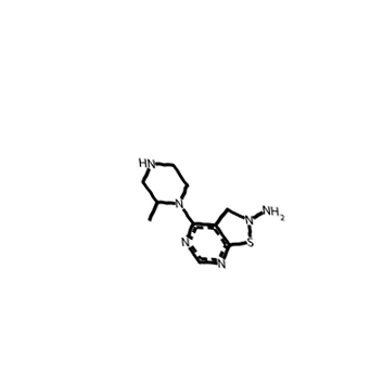 CC1CNCCN1c1ncnc2c1CN(N)S2